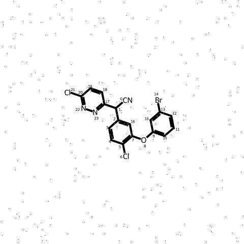 N#CC(c1ccc(Cl)c(Oc2cccc(Br)c2)c1)c1ccc(Cl)nn1